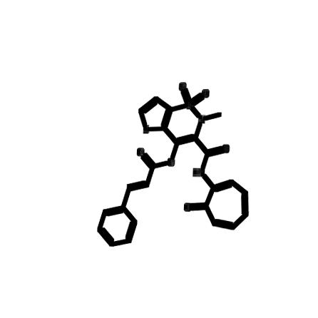 CN1C(C(=O)Nc2cccccc2=O)=C(OC(=O)C=Cc2ccccc2)c2sccc2S1(=O)=O